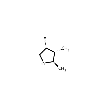 C[C@H]1[C@@H](F)CN[C@@H]1C